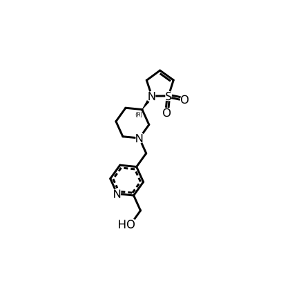 O=S1(=O)C=CCN1[C@@H]1CCCN(Cc2ccnc(CO)c2)C1